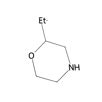 C[CH]C1CNCCO1